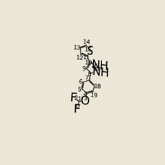 FC(F)Oc1ccc(C2C=C(c3cccs3)NN2)cc1